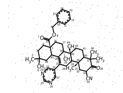 CC1(C)CC[C@]2(C(=O)OCc3ccccc3)CC[C@]3(C)C(=C(c4cncnc4)CC4[C@@]5(C)CC(C#N)C(=O)C(C)(C)C5CC[C@]43C)C2C1